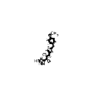 COc1ccc(Cc2nc(CC(=O)C(=O)c3nn[nH]n3)cs2)cc1